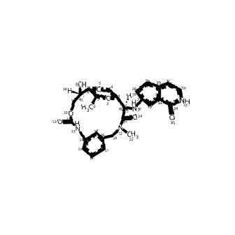 Cc1cc2ccc1[C@@H](C)COC(=O)Nc1cccc(c1)CN(C)C(=O)[C@@H]2Nc1ccc2cc[nH]c(=O)c2c1